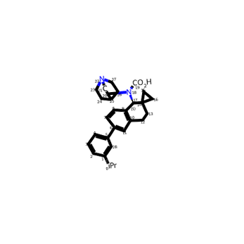 CC(C)c1cccc(-c2ccc3c(c2)CCC2(CC2)[C@@H]3N(C(=O)O)C2CN3CCC2CC3)c1